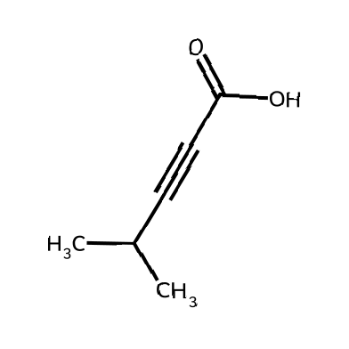 CC(C)C#CC(=O)O